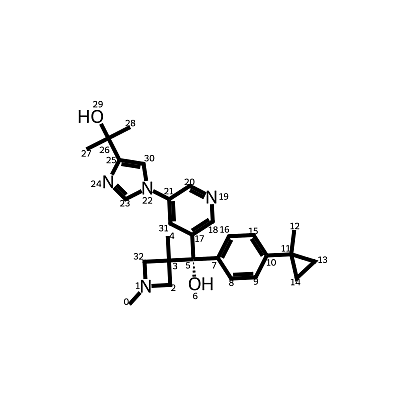 CN1CC(C)([C@](O)(c2ccc(C3(C)CC3)cc2)c2cncc(-n3cnc(C(C)(C)O)c3)c2)C1